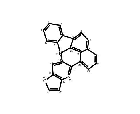 c1cc2ccc3c4ccccc4n4c5cc6occc6nc5c(c1)c2c34